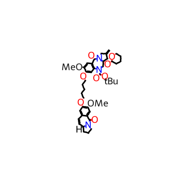 C=C1CN2C(=O)c3cc(OC)c(OCCCCCOc4cc5c(cc4OC)C(=O)N4CCC[C@H]4C=C5)cc3N(C(=O)OC(C)(C)C)CC2(OC2CCCCO2)C1